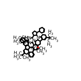 CC(C)(C)C1=CC2=C(CC1)C(C1=C(C3=C=CC=CC3)C=CCC1C1N=C(C3CCC(C4CC=CCC4)C3N3C4=C(C=C(C(C)(C)C)CC4)C4CC(C(C)(C)C)CCC43)NC(c3ccccc3)N1)c1ccc(C(C)(C)C)cc12